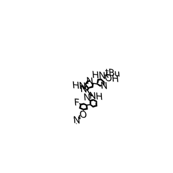 CN(C)CCOc1cc(F)cc(-c2cccc3[nH]c(-c4n[nH]c5cnc(-c6cncc(NC(O)C(C)(C)C)c6)cc45)nc23)c1